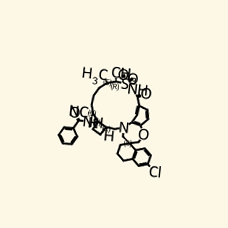 C[C@@H]1[C@@H](C)CCC[C@](C#N)(NC(=O)c2ccccc2)[C@@H]2CC[C@H]2CN2C[C@@]3(CCCc4cc(Cl)ccc43)COc3ccc(cc32)C(=O)NS1(=O)=O